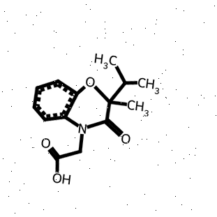 CC(C)C1(C)Oc2ccccc2N(CC(=O)O)C1=O